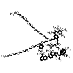 COCCOCCOCCOCCOCCOCCOCCOCCCN(CCCOCCOCCOCCOCCOCCOCCOCCOC)CCCc1cc(C(N)[C@H](C)C(N)[C@@H](N)C(C)C)ccc1COC(=O)N(CCOC12CC3(C)CC(C)(CC(Cn4ncc(-c5ccc(N6CCc7cccc(C(=O)Nc8nc9ccccc9s8)c7C6)nc5C(=O)O)c4C)(C3)C1)C2)CCS(=O)(=O)O